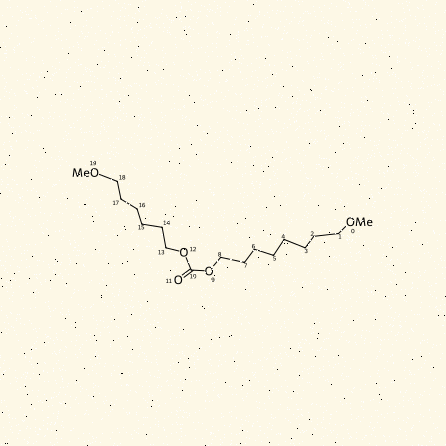 COCCCCCCCCOC(=O)OCCCCCCOC